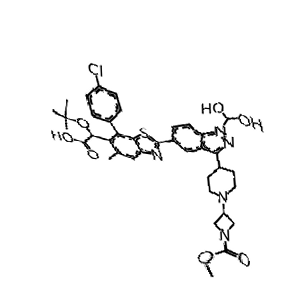 COC(=O)N1CC(N2CCC(c3nn(C(O)O)c4ccc(-c5nc6cc(C)c([C@H](OC(C)(C)C)C(=O)O)c(-c7ccc(Cl)cc7)c6s5)cc34)CC2)C1